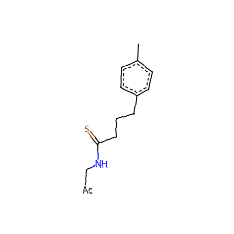 CC(=O)CNC(=S)CCCc1ccc(C)cc1